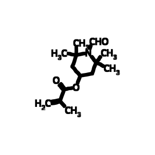 C=C(C)C(=O)OC1CC(C)(C)N(C=O)C(C)(C)C1